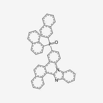 O=P(c1ccc2ccccc2c1)(c1ccc2c(c1)c1ccc3ccccc3c1c1nc3ccccc3n21)c1cccc2ccccc12